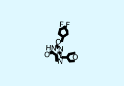 O=c1[nH]c(OCC2CCC(F)(F)CC2)nn2c(C3CCOCC3)ncc12